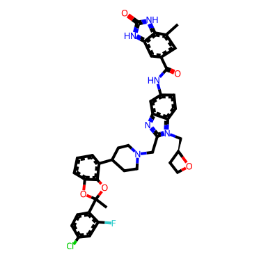 Cc1cc(C(=O)Nc2ccc3c(c2)nc(CN2CCC(c4cccc5c4OC(C)(c4ccc(Cl)cc4F)O5)CC2)n3C[C@@H]2CCO2)cc2[nH]c(=O)[nH]c12